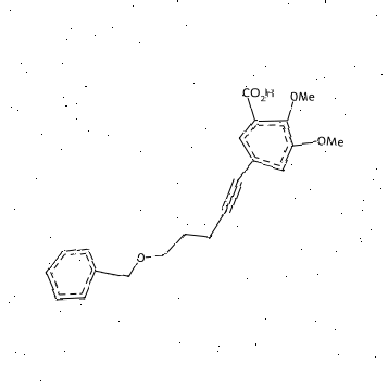 COc1cc(C#CCCCOCc2ccccc2)cc(C(=O)O)c1OC